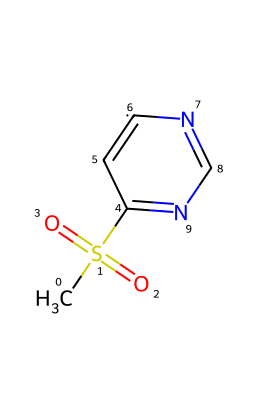 CS(=O)(=O)c1c[c]ncn1